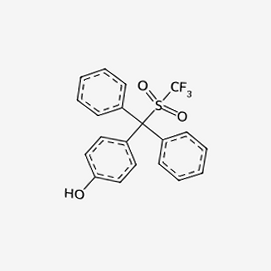 O=S(=O)(C(F)(F)F)C(c1ccccc1)(c1ccccc1)c1ccc(O)cc1